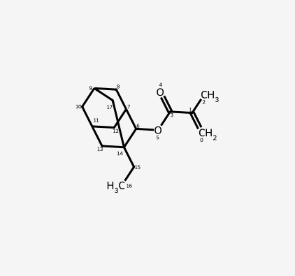 C=C(C)C(=O)OC1C2CC3CC(C2)CC1(CC)C3